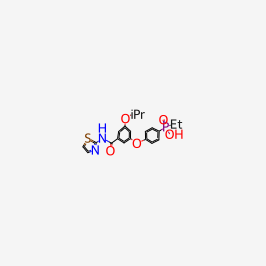 CCP(=O)(O)c1ccc(Oc2cc(OC(C)C)cc(C(=O)Nc3nccs3)c2)cc1